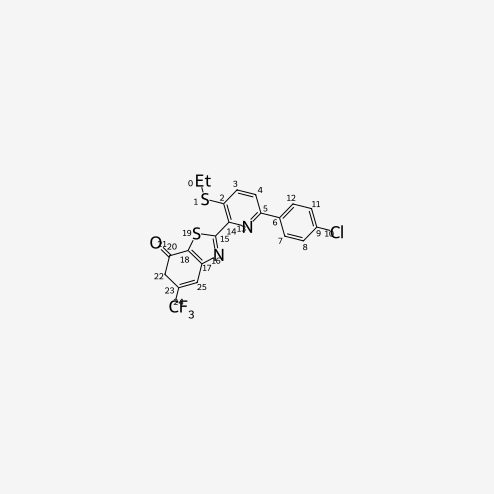 CCSc1ccc(-c2ccc(Cl)cc2)nc1-c1nc2c(s1)C(=O)CC(C(F)(F)F)=C2